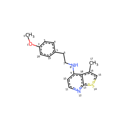 COc1ccc(CCNc2ccnc3scc(C)c23)cc1